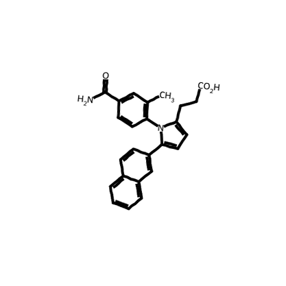 Cc1cc(C(N)=O)ccc1-n1c(CCC(=O)O)ccc1-c1ccc2ccccc2c1